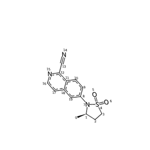 C[C@@H]1CCS(=O)(=O)N1c1ccc2c(C#N)nccc2c1